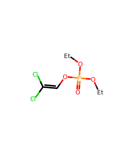 CCOP(=O)(OC=C(Cl)Cl)OCC